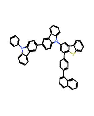 c1ccc(-n2c3ccccc3c3cc(-c4ccc5c(c4)c4ccccc4n5-c4cc(-c5ccc(-c6cccc7ccccc67)cc5)c5sc6ccccc6c5c4)ccc32)cc1